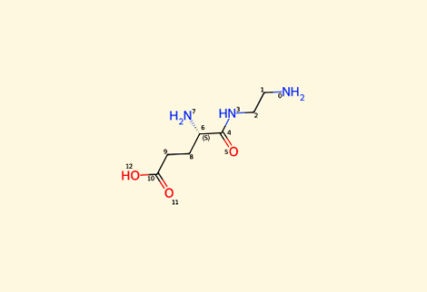 NCCNC(=O)[C@@H](N)CCC(=O)O